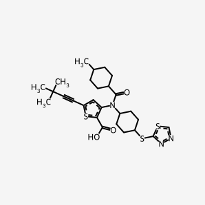 CC1CCC(C(=O)N(c2cc(C#CC(C)(C)C)sc2C(=O)O)C2CCC(Sc3nncs3)CC2)CC1